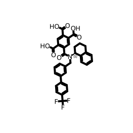 O=C(O)c1cc(C(=O)O)c(C(=O)N(Cc2cccc(-c3ccc(C(F)(F)F)cc3)c2)[C@H]2CCCc3ccccc32)cc1C(=O)O